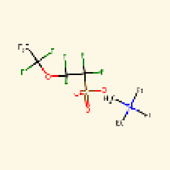 CC[N+](C)(CC)CC.O=S(=O)([O-])C(F)(F)C(F)(F)OC(F)(F)C(F)(F)F